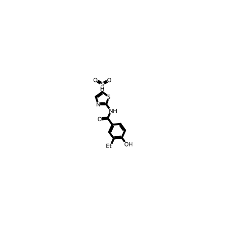 CCc1cc(C(=O)Nc2ncc([SH](=O)=O)s2)ccc1O